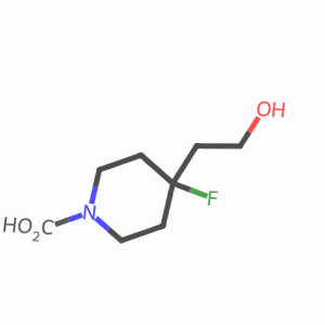 O=C(O)N1CCC(F)(CCO)CC1